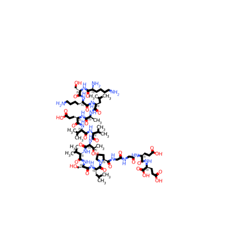 CC(C)C[C@H](NC(=O)[C@H](CCCCN)NC(=O)[C@H](CO)NC(=O)[C@@H](N)CCCCN)C(=O)N[C@@H](C)C(=O)N[C@@H](CCC(=O)O)C(=O)N[C@H](C(=O)N[C@H](C(=O)N[C@H](C(=O)N[C@H](C(=O)N[C@@H](CO)C(=O)N[C@@H](CC(C)C)C(=O)N1CCC[C@H]1C(=O)NCC(=O)NCC(=O)N[C@@H](CCC(=O)O)C(=O)N[C@@H](CCC(=O)O)C(=O)O)C(C)C)[C@@H](C)O)C(C)C)C(C)C